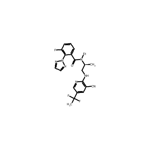 CCN(C(=O)c1cccc(F)c1-n1nccn1)[C@@H](C)CNc1ncc(C(C)(F)F)cc1C#N